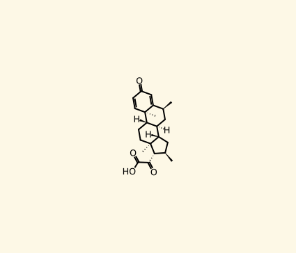 C[C@@H]1C[C@H]2[C@@H]3C[C@H](C)C4=CC(=O)C=C[C@]4(C)[C@H]3CC[C@]2(C)[C@H]1C(=O)C(=O)O